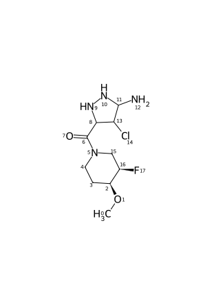 CO[C@H]1CCN(C(=O)C2NNC(N)C2Cl)C[C@H]1F